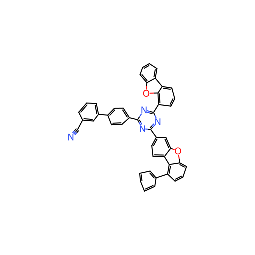 N#Cc1cccc(-c2ccc(-c3nc(-c4ccc5c(c4)oc4cccc(-c6ccccc6)c45)nc(-c4cccc5c4oc4ccccc45)n3)cc2)c1